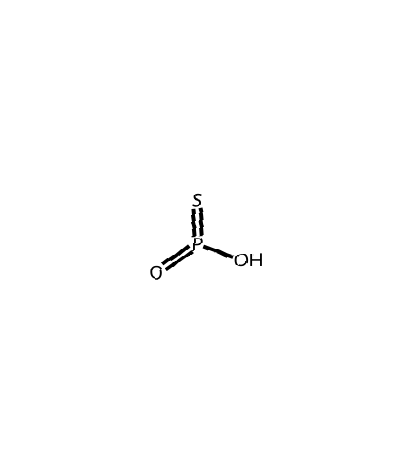 O=P(O)=S